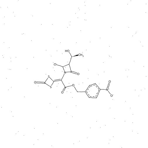 C[C@H](O)C1C(=O)N(C(C(=O)OCc2ccc([N+](=O)[O-])cc2)=C2SC(=O)S2)C1Cl